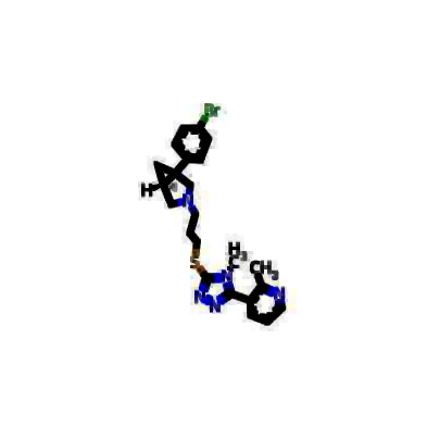 Cc1ncccc1-c1nnc(SCCCN2C[C@@H]3CC3(c3ccc(Br)cc3)C2)n1C